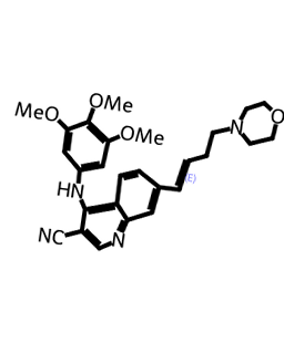 COc1cc(Nc2c(C#N)cnc3cc(/C=C/CCN4CCOCC4)ccc23)cc(OC)c1OC